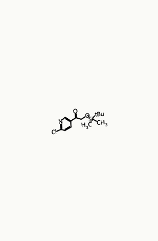 CC(C)(C)[Si](C)(C)OCC(=O)c1ccc(Cl)nc1